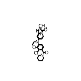 Cn1nc2cc(N3CCOc4c3ccc(C(=O)N3CCCCC3)c4Cl)ccn2c1=O